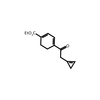 CCOC(=O)C1=CC=C(C(=O)CC2=CC2)CC1